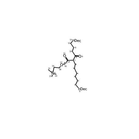 CCCCCCCCCCCCCCCCC(C(=O)CCCCCCCCCCCCC)C(=O)[P-]OCC[N+](C)(C)C